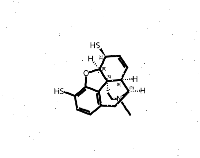 CN1CC[C@]23c4c5ccc(S)c4O[C@H]2[C@@H](S)C=C[C@H]3[C@H]1C5